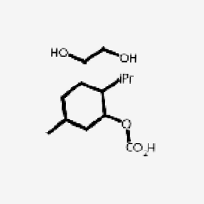 CC1CCC(C(C)C)C(OC(=O)O)C1.OCCO